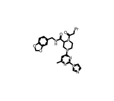 Cc1cc(N2CCN(C(=O)CC(C)C)C(C(=O)NCc3ccc4c(c3)OCO4)C2)nc(-n2ccnc2)n1